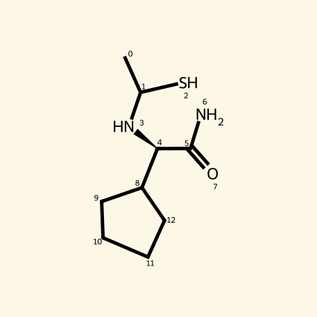 CC(S)N[C@@H](C(N)=O)C1CCCC1